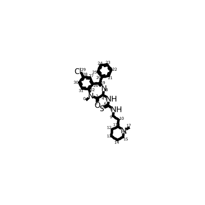 CN1C(=O)C(NC(=S)NCCC2CCCCN2C)N=C(c2ccccc2)c2cc(Cl)ccc21